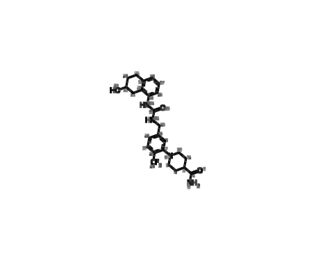 NC(=O)C1CCN(c2cc(CNC(=O)Nc3cccc4c3CC(O)CC4)ccc2C(F)(F)F)CC1